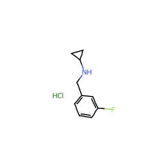 Cl.Fc1cccc(CNC2CC2)c1